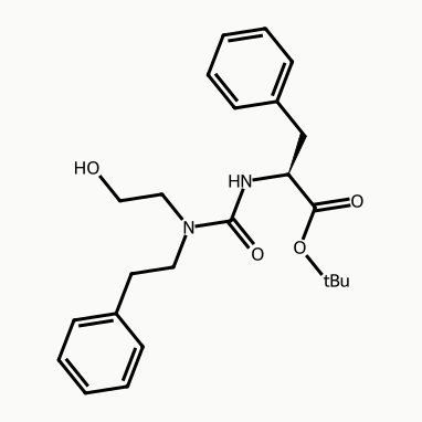 CC(C)(C)OC(=O)[C@H](Cc1ccccc1)NC(=O)N(CCO)CCc1ccccc1